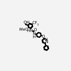 COc1c(CO)cc(C(F)(F)F)cc1NC(=O)NC1CCC(Oc2ccc(-c3ccccc3)nn2)CC1